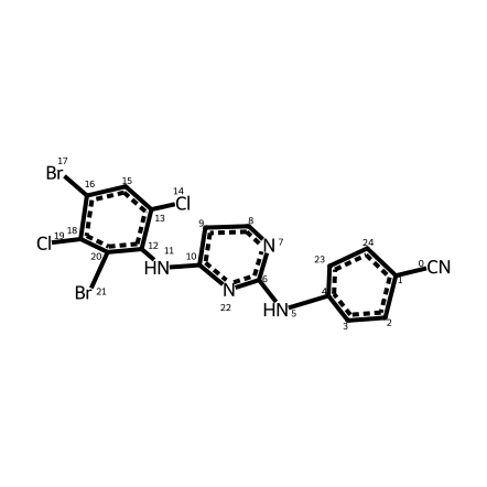 N#Cc1ccc(Nc2nccc(Nc3c(Cl)cc(Br)c(Cl)c3Br)n2)cc1